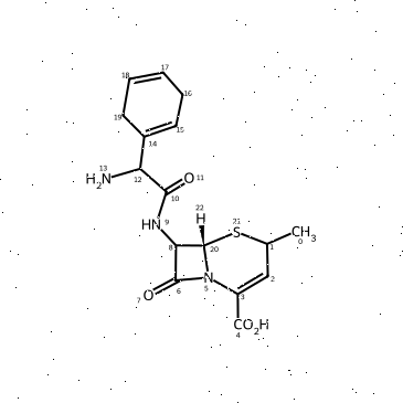 CC1C=C(C(=O)O)N2C(=O)C(NC(=O)C(N)C3=CCC=CC3)[C@@H]2S1